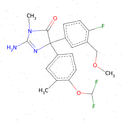 COCc1cc(C2(c3ccc(OC(F)F)c(C)c3)N=C(N)N(C)C2=O)ccc1F